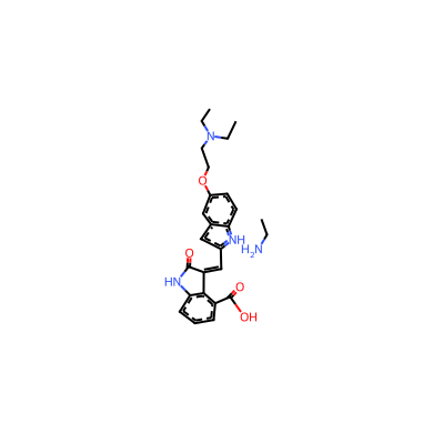 CCN.CCN(CC)CCOc1ccc2[nH]c(C=C3C(=O)Nc4cccc(C(=O)O)c43)cc2c1